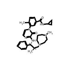 Cc1ccc(C(=O)NC2CC2)cc1-n1ccnc(N[C@@H](c2ccccc2)[C@H](C)CN2CCCN(C)CC2)c1=O